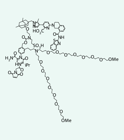 COCCOCCOCCOCCOCCOCCOCCOCCCN(CCCOCCOCCOCCOCCOCCOCCOCCOC)CCCc1cc(N(C(=O)[C@@H](NC(=O)CN2C(=O)C=CC2=O)C(C)C)[C@@H](C)C(N)=O)ccc1COC(=O)N(CCOC12CC3(C)CC(C)(CC(Cn4ncc(-c5ccc(N6CCc7cccc(C(=O)Nc8nc9ccccc9s8)c7C6)nc5C(=O)O)c4C)(C3)C1)C2)CCS(=O)(=O)O